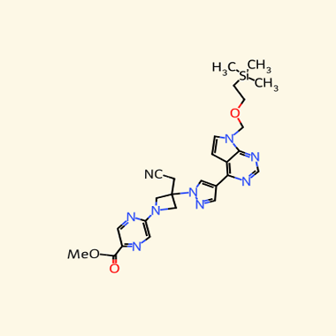 COC(=O)c1cnc(N2CC(CC#N)(n3cc(-c4ncnc5c4ccn5COCC[Si](C)(C)C)cn3)C2)cn1